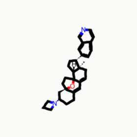 C[C@]12CC=C3C=C4CC[C@H](N5CCC5)C[C@]45CCC3(O5)[C@@H]1CC[C@@H]2c1ccc2ccncc2c1